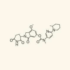 COc1cc(OC(=O)N(C)c2ccc(N3CCCCC3C)nc2)cc2c1CN(C1CCC(=O)NC1=O)C2=O